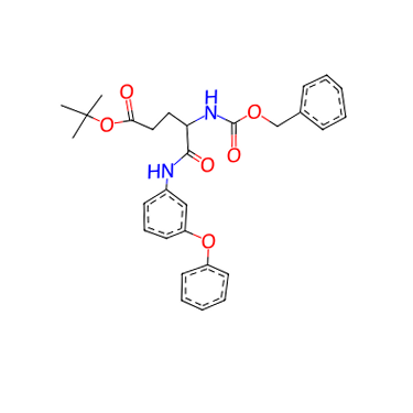 CC(C)(C)OC(=O)CCC(NC(=O)OCc1ccccc1)C(=O)Nc1cccc(Oc2ccccc2)c1